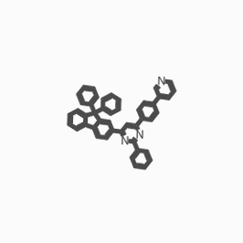 c1ccc(-c2nc(-c3ccc(-c4cccnc4)cc3)cc(-c3ccc4c(c3)C(c3ccccc3)(c3ccccc3)c3ccccc3-4)n2)cc1